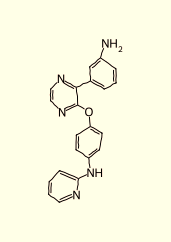 Nc1cccc(-c2nccnc2Oc2ccc(Nc3ccccn3)cc2)c1